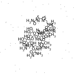 Cc1c(N)nc(C(CC(N)=O)NCC(N)C(N)=O)nc1C(=O)NC(C(=O)NC(C)C(O)C(C)C(=O)NC(C(=O)NCCc1nc(-c2nc(C(N)=O)cs2)cs1)C(C)O)C(OC1OC(CO)C(O)C(O)C1OC1OC(CO)C(O)C(OC(N)=O)C1O)c1cnc[nH]1